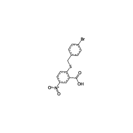 O=C(O)c1cc([N+](=O)[O-])ccc1SCc1ccc(Br)cc1